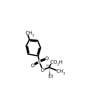 CC[C@](C)(OS(=O)(=O)c1ccc(C)cc1)C(=O)O